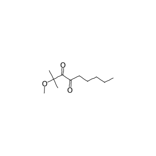 CCCCCC(=O)C(=O)C(C)(C)OC